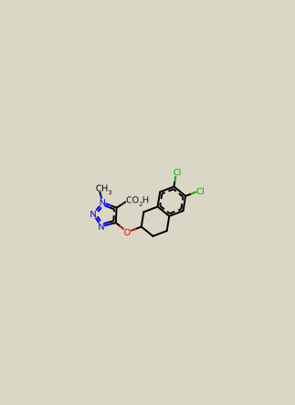 Cn1nnc(OC2CCc3cc(Cl)c(Cl)cc3C2)c1C(=O)O